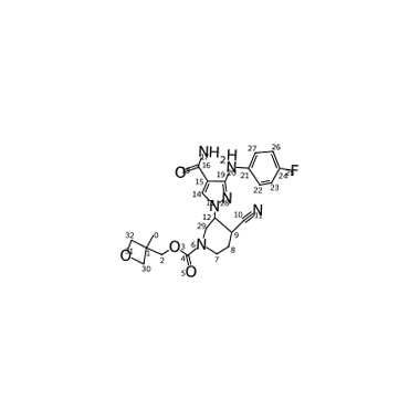 CC1(COC(=O)N2CCC(C#N)C(n3cc(C(N)=O)c(Nc4ccc(F)cc4)n3)C2)COC1